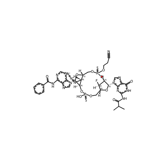 CC(C)C(=O)Nc1nc2c(ncn2[C@@H]2O[C@@H]3COP(O)(=S)O[C@@H]4[C@H](N=[N+]=[N-])[C@@H](COP(=S)(OCCC#N)O[C@@H]2[C@@H]3F)O[C@H]4n2cnc3c(NC(=O)c4ccccc4)ncnc32)c(=O)[nH]1